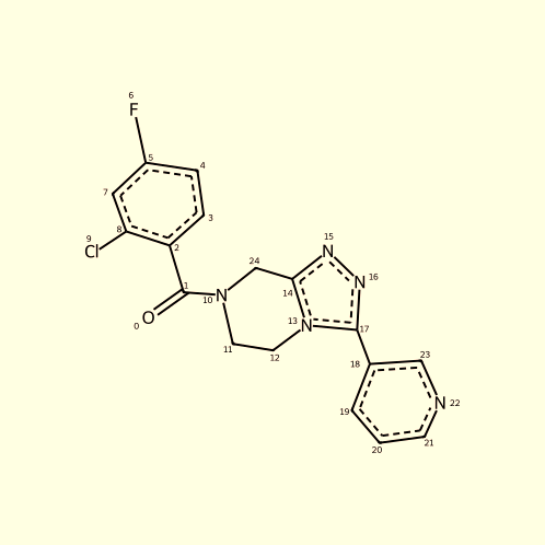 O=C(c1ccc(F)cc1Cl)N1CCn2c(nnc2-c2cccnc2)C1